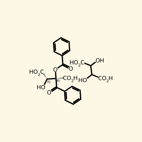 O=C(O)C(O)C(O)C(=O)O.O=C(O[C@@](C(=O)O)(C(=O)c1ccccc1)[C@H](O)C(=O)O)c1ccccc1